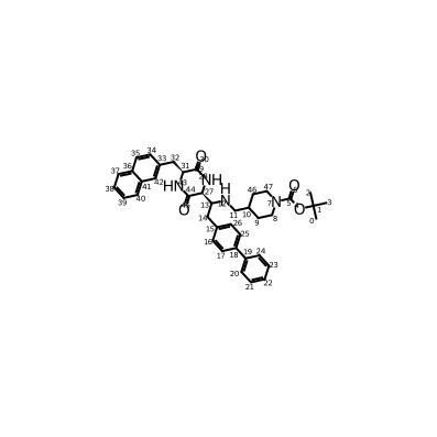 CC(C)(C)OC(=O)N1CCC(CNC(Cc2ccc(-c3ccccc3)cc2)[C@@H]2NC(=O)[C@H](Cc3ccc4ccccc4c3)NC2=O)CC1